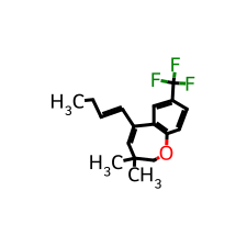 CC/C=C/C1=CC(C)(C)COc2ccc(C(F)(F)F)cc21